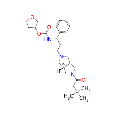 CC(C)(C)CC(=O)N1CC2CN(CCC(NC(=O)OC3CCOC3)c3ccccc3)C[C@H]2C1